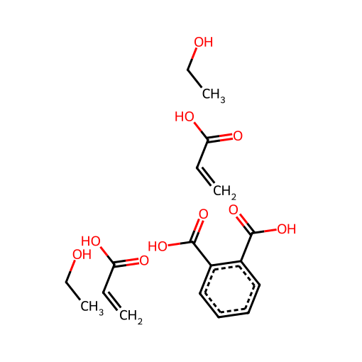 C=CC(=O)O.C=CC(=O)O.CCO.CCO.O=C(O)c1ccccc1C(=O)O